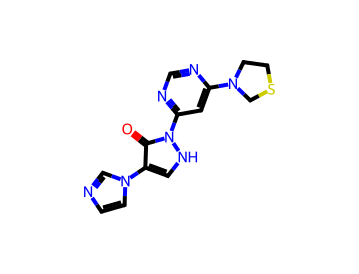 O=c1c(-n2ccnc2)c[nH]n1-c1cc(N2CCSC2)ncn1